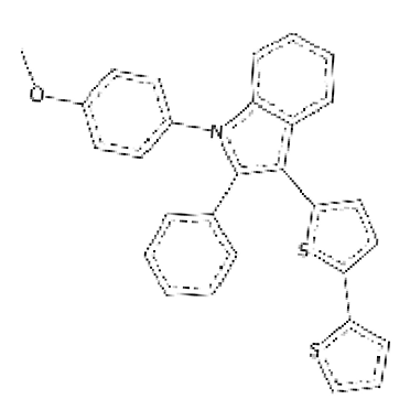 COc1ccc(-n2c(-c3ccccc3)c(-c3ccc(-c4cccs4)s3)c3ccccc32)cc1